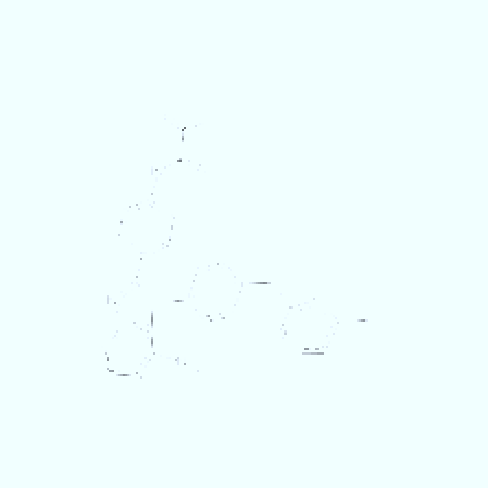 C=C(C)C(=O)Nc1ccc(-c2[nH]c3ncnc(N)c3c2-c2ccc(Oc3cccc(C)n3)cc2)cc1